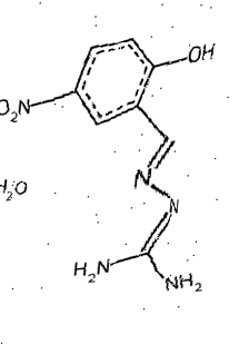 NC(N)=NN=Cc1cc([N+](=O)[O-])ccc1O.O